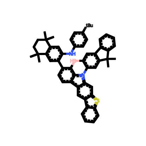 CC(C)(C)c1ccc(Nc2cc3c(cc2-c2ccc4c5cc6c(cc5n5c4c2Bc2cc4c(cc2-5)C(C)(C)c2ccccc2-4)sc2ccccc26)C(C)(C)CCC3(C)C)cc1